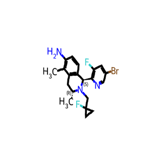 Cc1c(N)ccc2c1C[C@@H](C)N(CC1(F)CC1)[C@@H]2c1ncc(Br)cc1F